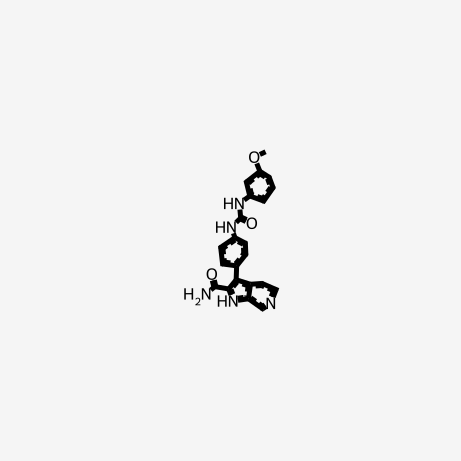 COc1cccc(NC(=O)Nc2ccc(-c3c(C(N)=O)[nH]c4cnccc34)cc2)c1